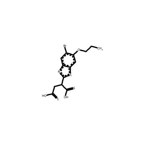 CCCOc1cc2sc(C(CC(O)=S)C(O)=S)nc2cc1Br